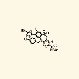 CC[C@H](NC)C(=O)N[C@H]1CS(=O)(=O)c2cc(F)c(-c3nnc(C(C)(C)C)o3)cc2N(Cc2ccc(Cl)cc2)C1=O